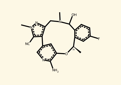 C[C@H]1Oc2cc(cnc2N)-c2c(nn(C)c2C#N)CN(C)C(O)c2ccc(F)cc21